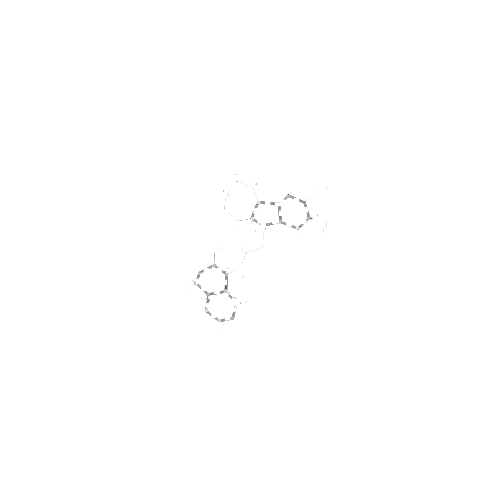 Clc1cc2c3c(n(CCOc4c(Br)cc(Br)c5cccnc45)c2cc1Cl)CCNCC3